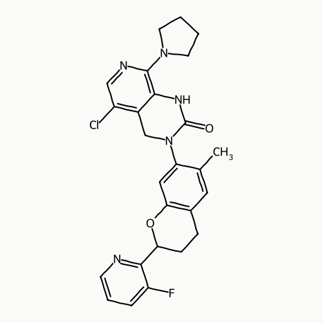 Cc1cc2c(cc1N1Cc3c(Cl)cnc(N4CCCC4)c3NC1=O)OC(c1ncccc1F)CC2